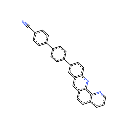 N#Cc1ccc(-c2ccc(-c3ccc4nc5c(ccc6cccnc65)cc4c3)cc2)cc1